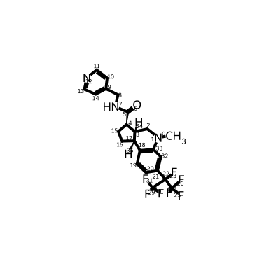 CN1C[C@H]2[C@H](C(=O)NCc3ccncc3)CC[C@H]2c2ccc(C(F)(C(F)(F)F)C(F)(F)F)cc21